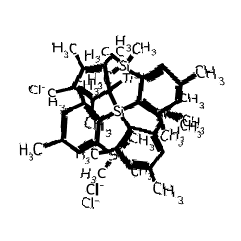 CC1=C(C)[C]([Ti+3])([Si](c2c(C)cc(C)cc2[Si](C)(C)C)(c2c(C)cc(C)cc2[Si](C)(C)C)c2c(C)cc(C)cc2[Si](C)(C)C)C(C)=C1C.[Cl-].[Cl-].[Cl-]